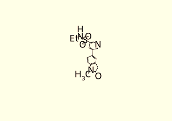 CCNS(=O)(=O)c1cncc(-c2ccc3c(c2)CC(=O)N3C)c1